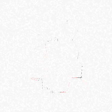 CC(C)(C)CCCCCC(=O)OOC(C)(C)C.CCCC(C)(C)OOOC(=O)C(C)(C)C